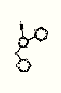 N#Cc1sc(Nc2ncccn2)nc1-c1ccccn1